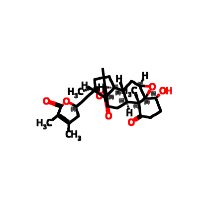 CC1=C(C)C(=O)O[C@@H]([C@]2(C)OC(=O)[C@]34CC[C@H]5[C@@H](C[C@H]6O[C@]67[C@@H](O)CCC(=O)[C@]57C)[C@@H]3CC[C@H]24)C1